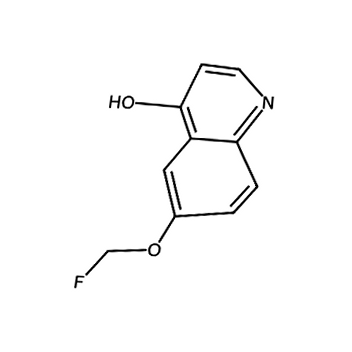 Oc1ccnc2ccc(OCF)cc12